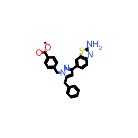 COC(=O)c1ccc(Cn2nc(-c3ccc4nc(N)sc4c3)cc2Cc2ccccc2)cc1